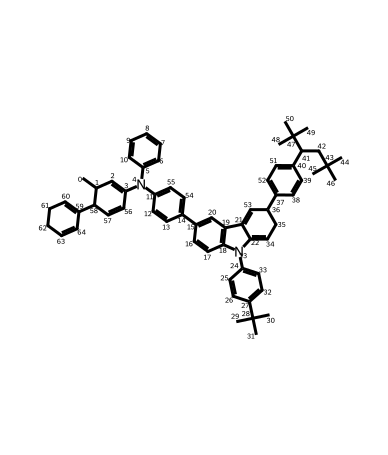 CC1C=C(N(c2ccccc2)c2ccc(-c3ccc4c(c3)c3c(n4-c4ccc(C(C)(C)C)cc4)=CCC(c4ccc(C(CC(C)(C)C)C(C)(C)C)cc4)C=3)cc2)C=CC1C1=CCCC=C1